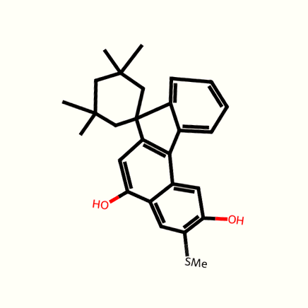 CSc1cc2c(O)cc3c(c2cc1O)-c1ccccc1C31CC(C)(C)CC(C)(C)C1